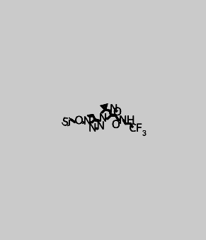 C[Si](C)(C)CCOCn1ccc2c(N3Cc4c(noc4C(=O)NCCC(F)(F)F)C4(CC4)C3)ncnc21